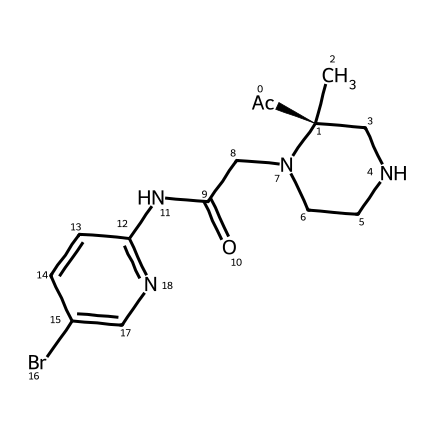 CC(=O)[C@@]1(C)CNCCN1CC(=O)Nc1ccc(Br)cn1